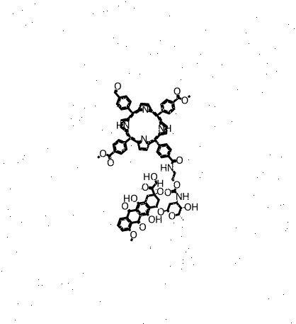 COC(=O)c1ccc(-c2c3nc(c(-c4ccc(C(=O)NCCOC(=O)N[C@H]5C[C@H](O[C@H]6C[C@](O)(C(=O)CO)Cc7c(O)c8c(c(O)c76)C(=O)c6c(OC)cccc6C8=O)O[C@@H](C)[C@H]5O)cc4)c4ccc([nH]4)c(-c4ccc(C(=O)OC)cc4)c4nc(c(-c5ccc(C=O)cc5)c5ccc2[nH]5)C=C4)C=C3)cc1